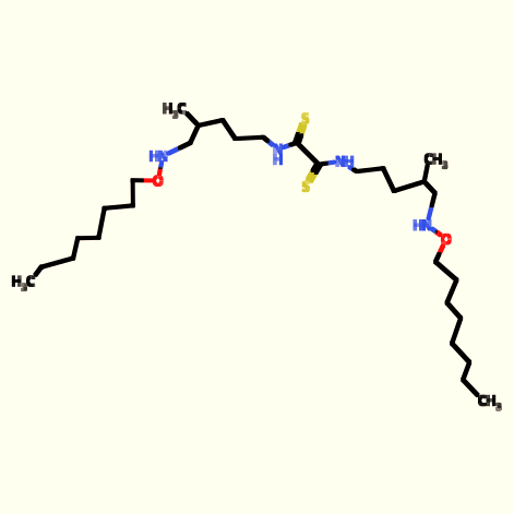 CCCCCCCCONCC(C)CCCNC(=S)C(=S)NCCCC(C)CNOCCCCCCCC